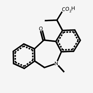 CC(C(=O)O)c1cccc2c1C(=O)c1ccccc1CN2C